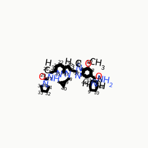 COc1cc(C(=O)N2[C@H]3CC[C@@H]2[C@H](N)C3)cc2nc(-c3cc4ccc([C@@H](C)NC(=O)N5CCCC5)nc4n3CC3CC3)n(C)c12